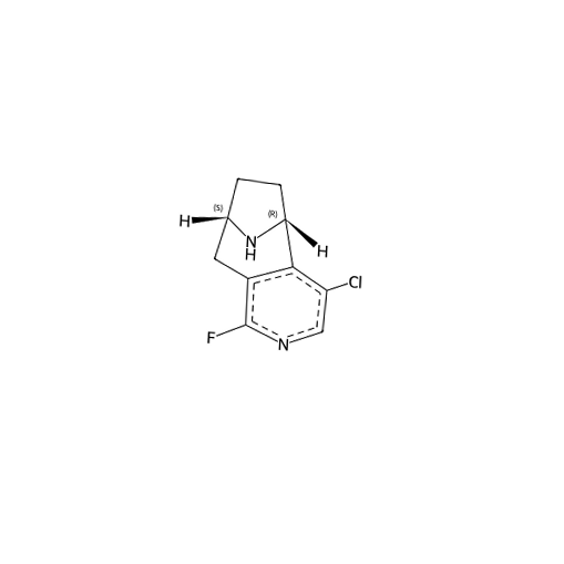 Fc1ncc(Cl)c2c1C[C@@H]1CC[C@H]2N1